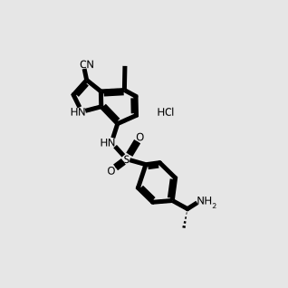 Cc1ccc(NS(=O)(=O)c2ccc([C@@H](C)N)cc2)c2[nH]cc(C#N)c12.Cl